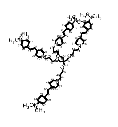 CN(C)c1ccc(/C=C/c2cc[n+](CCCOCC(COCCC[n+]3ccc(/C=C/c4ccc(N(C)C)cc4)cc3)(COCCC[n+]3ccc(/C=C/c4ccc(N(C)C)cc4)cc3)COCCC[n+]3ccc(/C=C/c4ccc(N(C)C)cc4)cc3)cc2)cc1